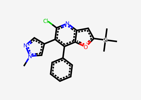 Cn1cc(-c2c(Cl)nc3cc([Si](C)(C)C)oc3c2-c2ccccc2)cn1